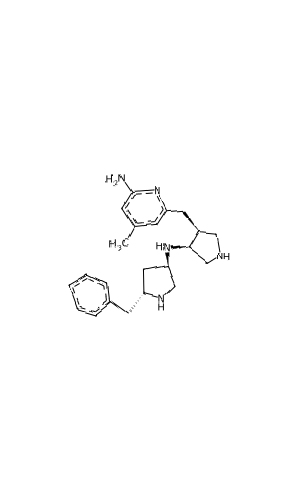 Cc1cc(N)nc(C[C@H]2CNC[C@H]2N[C@H]2CN[C@H](Cc3ccccc3)C2)c1